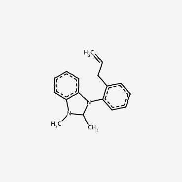 C=CCc1ccccc1N1c2ccccc2N(C)C1C